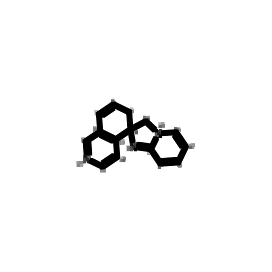 C1=CC2=NC3(CC=Cc4cnccc43)CN2C=C1